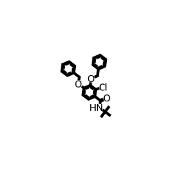 CC(C)(C)NC(=O)c1ccc(OCc2ccccc2)c(OCc2ccccc2)c1Cl